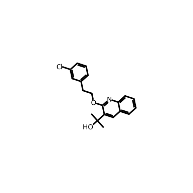 CC(C)(O)c1cc2ccccc2nc1OCCc1cccc(Cl)c1